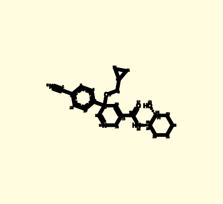 N#Cc1ccc(C2(OCC3CC3)C=NCC(C(=O)N[C@@H]3CCCC[C@H]3O)=C2)cc1